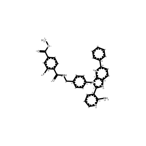 COC(=O)c1ccc(C(=O)NCc2ccc(-n3c(-c4cccnc4N)nc4ccc(-c5ccccc5)nc43)cc2)c(F)c1